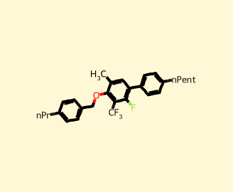 CCCCCc1ccc(-c2cc(C)c(OCc3ccc(CCC)cc3)c(C(F)(F)F)c2F)cc1